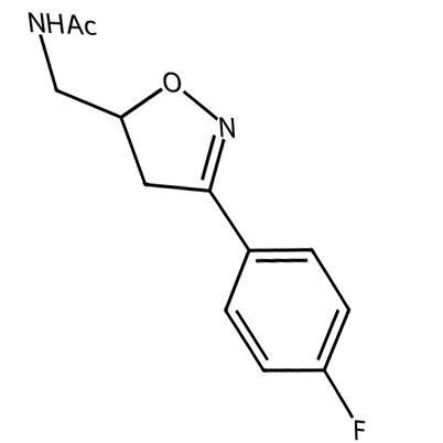 CC(=O)NCC1CC(c2ccc(F)cc2)=NO1